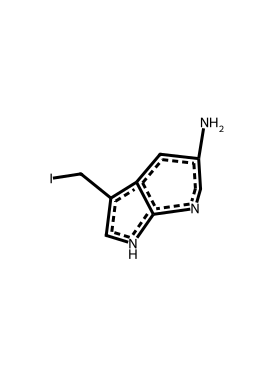 Nc1cnc2[nH]cc(CI)c2c1